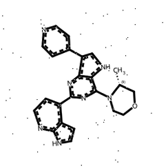 C[C@@H]1COCCN1c1nc(-c2ccnc3[nH]ccc23)nc2c(-c3ccncc3)c[nH]c12